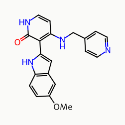 COc1ccc2[nH]c(-c3c(NCc4ccncc4)cc[nH]c3=O)cc2c1